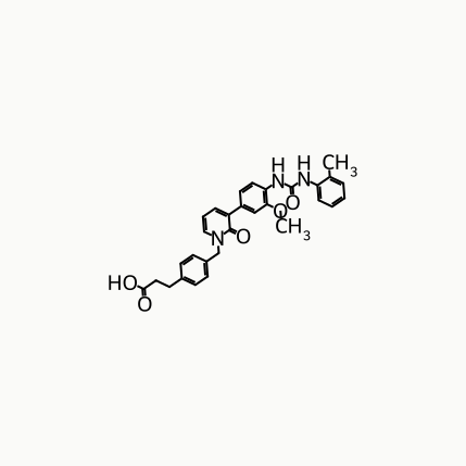 COc1cc(-c2cccn(Cc3ccc(CCC(=O)O)cc3)c2=O)ccc1NC(=O)Nc1ccccc1C